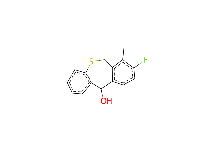 Cc1c(F)ccc2c1CSc1ccccc1C2O